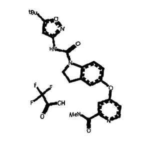 CNC(=O)c1cc(Oc2ccc3c(c2)CCN3C(=O)Nc2cc(C(C)(C)C)on2)ccn1.O=C(O)C(F)(F)F